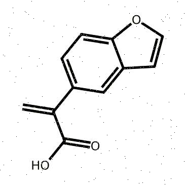 C=C(C(=O)O)c1ccc2occc2c1